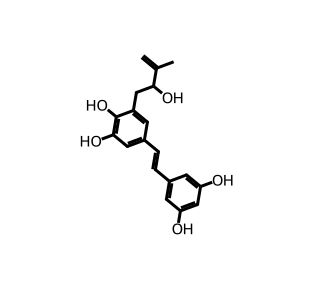 C=C(C)C(O)Cc1cc(/C=C/c2cc(O)cc(O)c2)cc(O)c1O